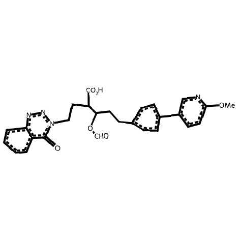 COc1ccc(-c2ccc(CCC(OC=O)C(CCn3nnc4ccccc4c3=O)C(=O)O)cc2)cn1